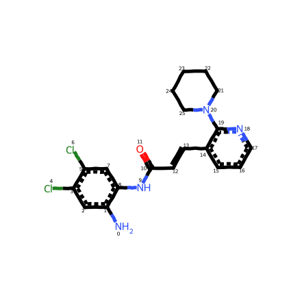 Nc1cc(Cl)c(Cl)cc1NC(=O)/C=C/c1cccnc1N1CCCCC1